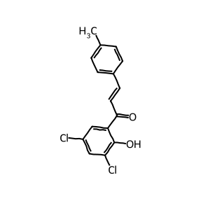 Cc1ccc(/C=C/C(=O)c2cc(Cl)cc(Cl)c2O)cc1